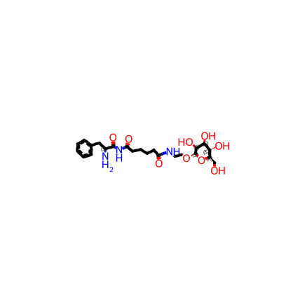 N[C@@H](Cc1ccccc1)C(=O)NC(=O)CCCCC(=O)NCCO[C@H]1O[C@H](CO)[C@@H](O)[C@H](O)[C@@H]1O